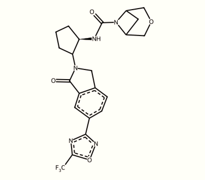 O=C1c2cc(-c3noc(C(F)(F)F)n3)ccc2CN1C1CCC[C@H]1NC(=O)N1C2COCC1C2